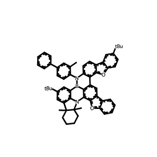 Cc1cc(-c2ccccc2)ccc1N1B2c3cc(C(C)(C)C)cc4c3N(c3c2c(cc2c3oc3ccccc32)-c2c1ccc1c2oc2ccc(C(C)(C)C)cc21)C1(C)CCCCC41C